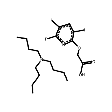 CCCCN(CCCC)CCCC.O=C(O)COc1nc(F)c(I)cc1I